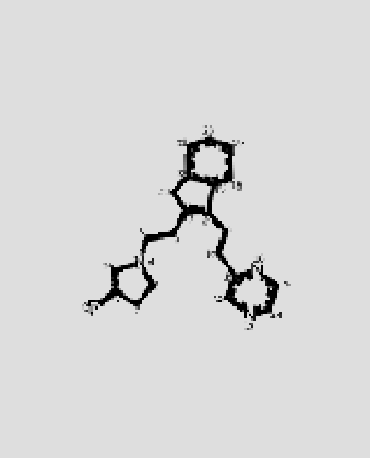 FC1CCN(CCC2=C(CCc3cnccn3)c3ccccc3C2)C1